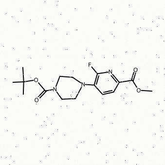 COC(=O)c1ccc(N2CCN(C(=O)OC(C)(C)C)CC2)c(F)n1